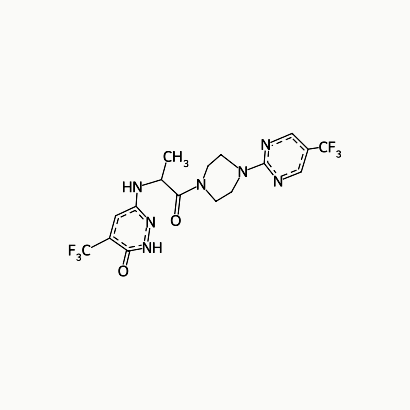 CC(Nc1cc(C(F)(F)F)c(=O)[nH]n1)C(=O)N1CCN(c2ncc(C(F)(F)F)cn2)CC1